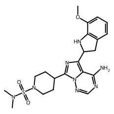 COc1cccc2c1NC(c1nc(C3CCN(S(=O)(=O)N(C)C)CC3)n3ncnc(N)c13)C2